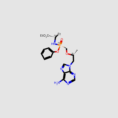 CCOC(=O)[C@H](CC)N[P@](=O)(CO[C@H](C)Cn1cnc2c(N)ncnc21)Oc1ccccc1